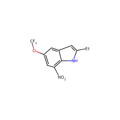 [CH2]Cc1cc2cc(OC(F)(F)F)cc([N+](=O)[O-])c2[nH]1